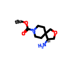 CC(C)(C)OC(=O)N1CCC2(CC1)COC[C@H]2N